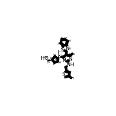 Cc1nc(NCC2=CC(C)CS2)nc(N[C@H]2CC[C@@H](CO)C2)c1-c1nc2ccccc2s1